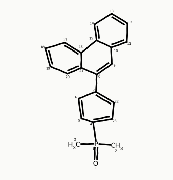 CP(C)(=O)c1ccc(-c2cc3ccccc3c3ccccc23)cc1